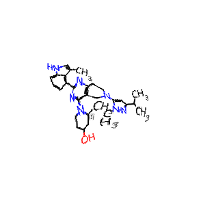 Cc1c[nH]c2cccc(-c3nc4c(c(N5CCC(O)C[C@@H]5C)n3)CN(c3cc(C(C)C)nn3C)CC4)c12